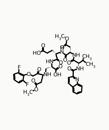 COC(=O)CC(NC[C@H](NC(=O)[C@H](CCC(=O)O)NC(=O)[C@H](CC(=O)OC)NC(=O)[C@@H](NC(=O)c1ccc2ccccc2n1)C(C)C)C(=O)O)C(=O)COc1c(F)cccc1F